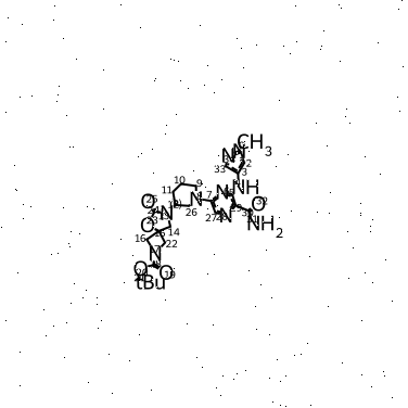 Cn1cc(Nc2nc(N3CCC[C@@H](N4CC5(CN(C(=O)OC(C)(C)C)C5)OC4=O)C3)cnc2C(N)=O)cn1